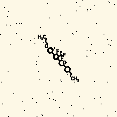 CCCCOc1ccc(-c2ccc(C3CCC(C4CCC(CCC)CC4)OC3)c(C(F)(F)F)c2F)cc1